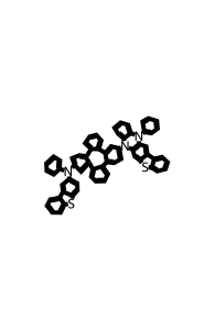 c1ccc(N(c2ccc3c(c2)-c2ccccc2-c2ccc(N4c5ccccc5N(c5ccccc5)c5cc6c(cc54)sc4ccccc46)cc2-c2ccccc2-3)c2ccc3sc4ccccc4c3c2)cc1